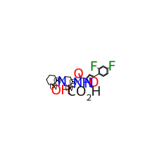 O=C(N[C@H]1CCN([C@@H]2CCCC[C@@H]2O)C[C@@H]1C(=O)O)c1cc(-c2ccc(F)cc2F)on1